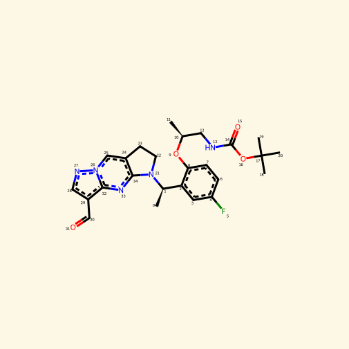 C[C@H](c1cc(F)ccc1O[C@@H](C)CNC(=O)OC(C)(C)C)N1CCc2cn3ncc(C=O)c3nc21